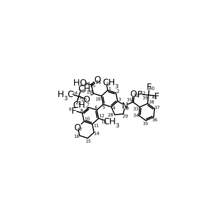 Cc1cc2c(c(-c3cc(F)c4c(c3C)CCCO4)c1[C@H](OC(C)(C)C)C(=O)O)CCN2C(=O)c1ccccc1C(F)(F)F